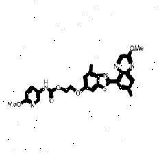 COc1ccc(NC(=O)OCCOc2cc(C)c3nc(-c4cc(C)cc5nc(OC)cnc45)sc3c2)cn1